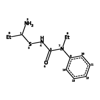 CCC(N)SNC(=O)N(CC)c1ccccc1